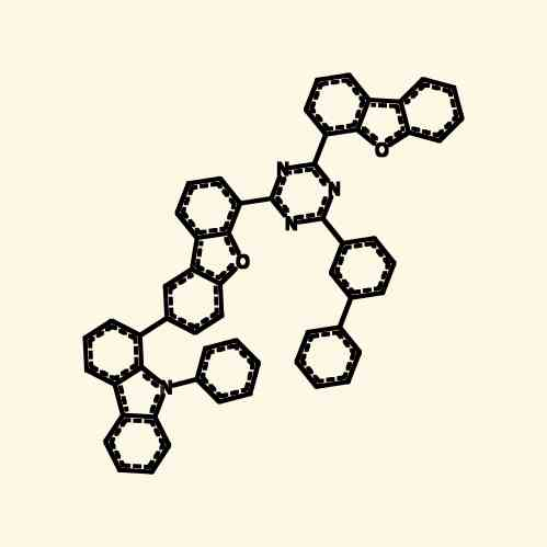 c1ccc(-c2cccc(-c3nc(-c4cccc5c4oc4ccccc45)nc(-c4cccc5c4oc4ccc(-c6cccc7c8ccccc8n(-c8ccccc8)c67)cc45)n3)c2)cc1